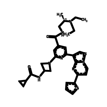 CCN(CC)[C@@H](C)CNC(=O)c1cc(-c2cnn3ccc(-c4cccs4)nc23)nc(N2CC(NC(=O)C3CC3)C2)c1